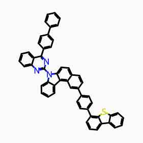 c1ccc(-c2ccc(-c3nc(-n4c5ccccc5c5c6cc(-c7ccc(-c8cccc9c8sc8ccccc89)cc7)ccc6ccc54)nc4ccccc34)cc2)cc1